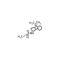 CCCNC(=O)Nc1ccc2c(c1)c1ccccc1n2C(C)C